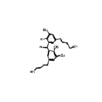 CC(C)C(c1cc(CCCCO)cc(C(C)(C)C)c1O)c1cc(CCCCO)cc(C(C)(C)C)c1O